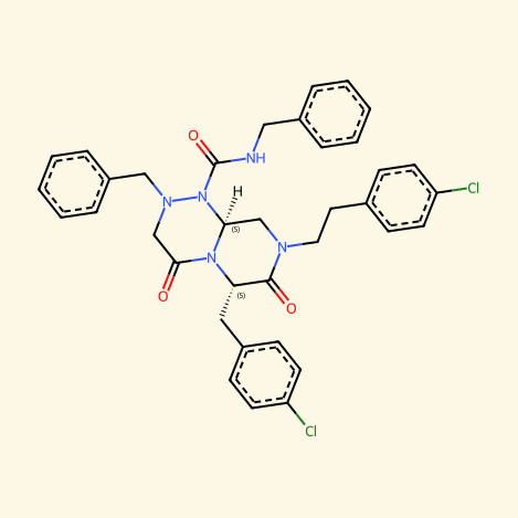 O=C1[C@H](Cc2ccc(Cl)cc2)N2C(=O)CN(Cc3ccccc3)N(C(=O)NCc3ccccc3)[C@H]2CN1CCc1ccc(Cl)cc1